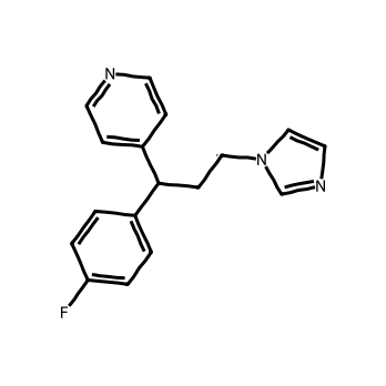 Fc1ccc(C(C[CH]n2ccnc2)c2ccncc2)cc1